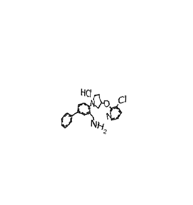 Cl.NCc1cc(-c2ccccc2)ccc1N1CCC(Oc2ncccc2Cl)C1